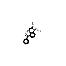 CC(C)(C)ON1C(=C=O)CNc2c(C(=O)c3ccccc3)cccc21